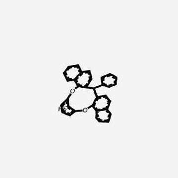 Sc1c2cccc1Oc1c(ccc3ccccc13)C(c1ccccc1)c1ccc3ccccc3c1O2